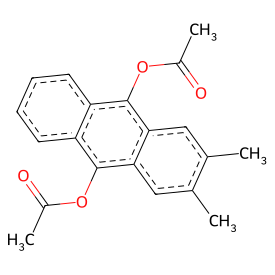 CC(=O)Oc1c2ccccc2c(OC(C)=O)c2cc(C)c(C)cc12